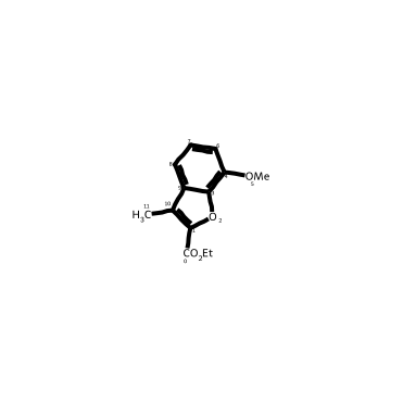 CCOC(=O)c1oc2c(OC)cccc2c1C